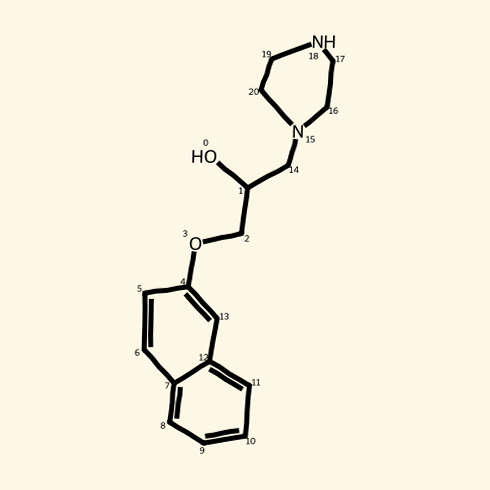 OC(COc1ccc2ccccc2c1)CN1CCNCC1